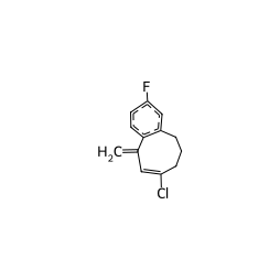 C=C1/C=C(/Cl)CCCc2cc(F)ccc21